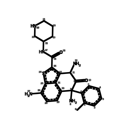 Cc1ccccc1C1(N)C(=O)C(N)c2c(C(=O)NC3CCCNC3)sc3c(N)ccc1c23